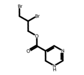 O=C(OCC(Br)CBr)C1=CN=CNC1